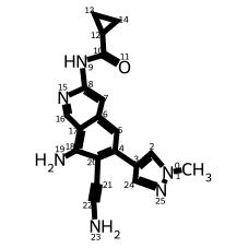 Cn1cc(-c2cc3cc(NC(=O)C4CC4)ncc3c(N)c2C#CN)cn1